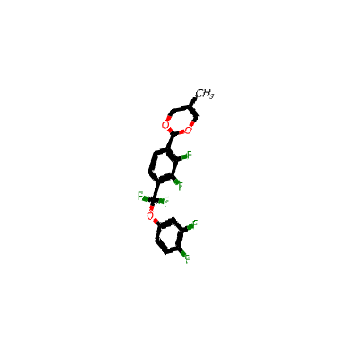 CC1COC(c2ccc(C(F)(F)Oc3ccc(F)c(F)c3)c(F)c2F)OC1